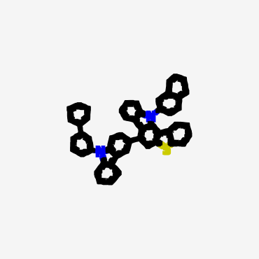 c1ccc(-c2cccc(-n3c4ccccc4c4cc(-c5cc6sc7ccccc7c6c6c5c5ccccc5n6-c5ccc6ccccc6c5)ccc43)c2)cc1